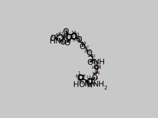 Nc1nnc(-c2ccccc2O)cc1OCCC12CC(NC(=O)CCOCCOCCOc3ccc4c(c3)C(=O)N(C3CCC(=O)NC3=O)C4=O)(C1)C2